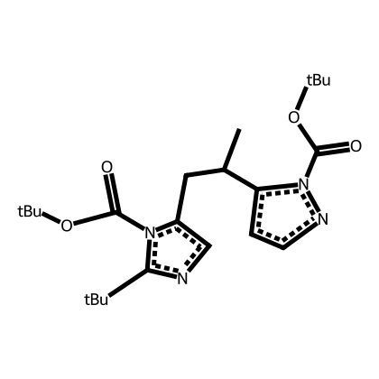 CC(Cc1cnc(C(C)(C)C)n1C(=O)OC(C)(C)C)c1ccnn1C(=O)OC(C)(C)C